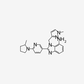 CC1CCCN1c1ccc(-c2nc3cccc(N)c3n2Cc2ccn(C)n2)cn1